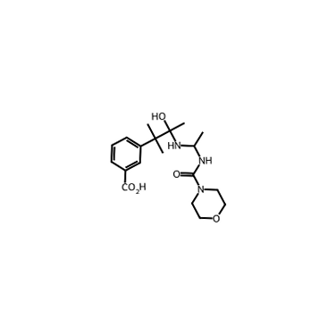 CC(NC(=O)N1CCOCC1)NC(C)(O)C(C)(C)c1cccc(C(=O)O)c1